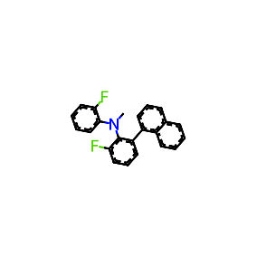 CN(c1ccccc1F)c1c(F)cccc1-c1cccc2ccccc12